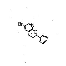 Brc1cnc2c(c1)CCC(c1ccccc1)O2